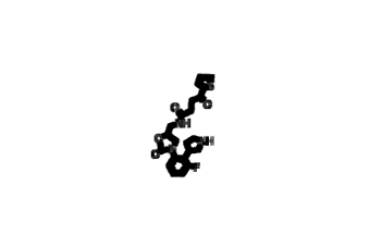 O=C(CCC(=O)c1cccs1)NCC1CN(c2cccc(F)c2C2CCNC2)C(=O)O1